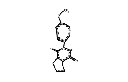 O=c1[nH]n(-c2ccc(OC(F)(F)F)cc2)c(=O)c2c1CCC2